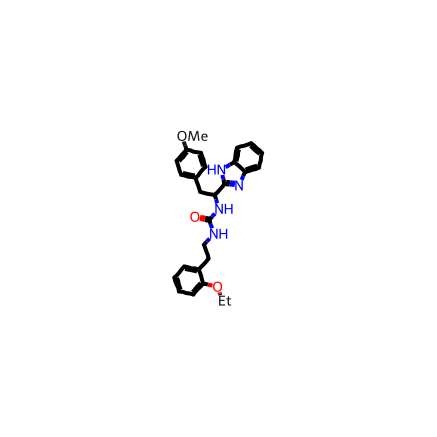 CCOc1ccccc1CCNC(=O)NC(Cc1ccc(OC)cc1)c1nc2ccccc2[nH]1